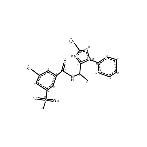 CC(NC(=O)c1cc(Cl)cc(S(C)(=O)=O)c1)c1nc(N)nn1-c1ncccn1